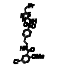 COc1ccc(Cl)cc1C(=O)NCCc1ccc(S(=O)(=O)Nc2nnc(CC(C)C)s2)cc1